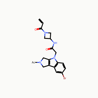 C=CC(=O)N1CC(NC(=O)Cn2c3c(c4cc(Br)ccc42)CN(C(C)=O)C3)C1